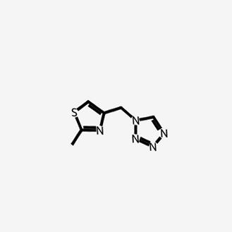 Cc1nc(Cn2cnnn2)cs1